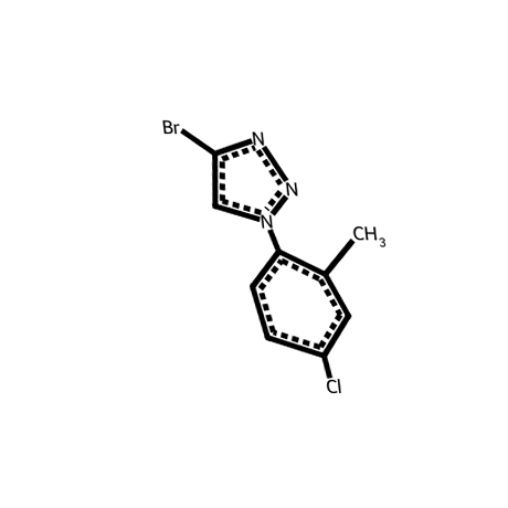 Cc1cc(Cl)ccc1-n1cc(Br)nn1